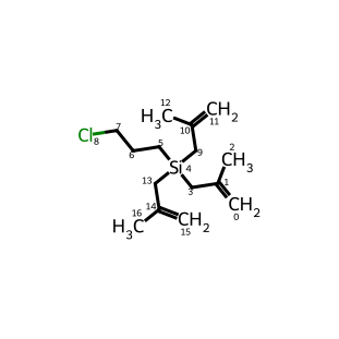 C=C(C)C[Si](CCCCl)(CC(=C)C)CC(=C)C